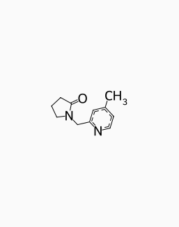 Cc1ccnc(CN2CCCC2=O)c1